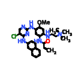 C=CC(=O)Nc1cc(Nc2ncc(Cl)c(Nc3ccc4ccccc4c3)n2)c(OC)cc1NCC[N+](C)(C)C